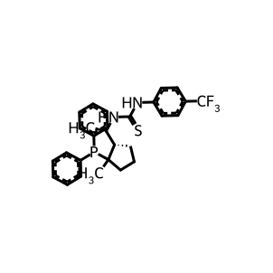 C[C@@H](NC(=S)Nc1ccc(C(F)(F)F)cc1)[C@@H]1CCCC1(C)P(c1ccccc1)c1ccccc1